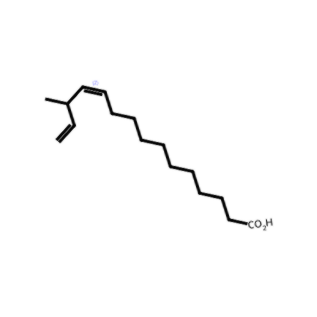 C=CC(C)/C=C\CCCCCCCCCC(=O)O